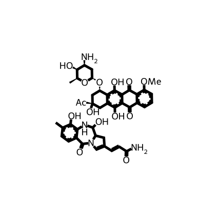 COc1cccc2c1C(=O)c1c(O)c3c(c(O)c1C2=O)C[C@@](O)(C(C)=O)C[C@@H]3O[C@H]1C[C@H](N)[C@H](O)[C@H](C)O1.Cc1ccc2c(c1O)NC(O)C1CC(/C=C/C(N)=O)=CN1C2=O